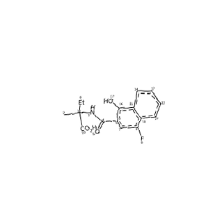 CCC(C)(NC(=O)c1cc(F)c2ccccc2c1O)C(=O)O